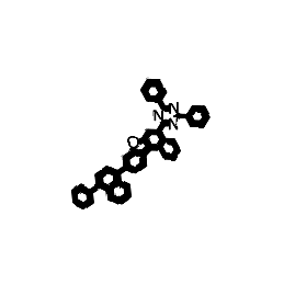 c1ccc(-c2nc(-c3ccccc3)nc(-c3cc4oc5cc(-c6ccc(-c7ccccc7)c7ccccc67)ccc5c4c4ccccc34)n2)cc1